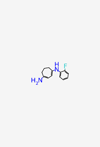 NC1=CC=C(Nc2ccccc2F)CCC1